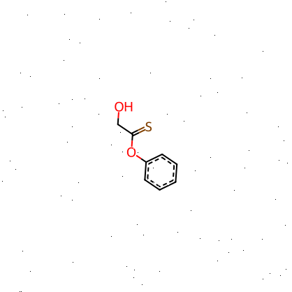 OCC(=S)Oc1ccccc1